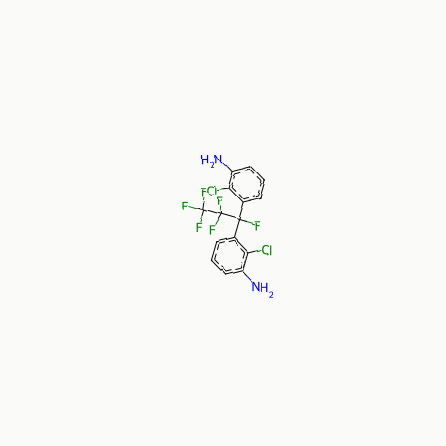 Nc1cccc(C(F)(c2cccc(N)c2Cl)C(F)(F)C(F)(F)F)c1Cl